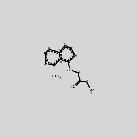 CC(=O)CC(=O)COc1cccc2ccncc12.[CaH2]